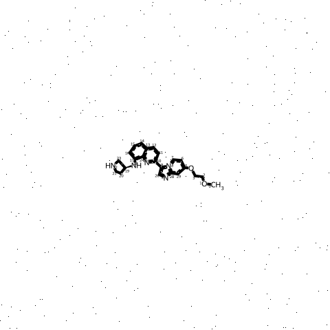 COCCOc1ccn2c(-c3ccc4cccc(N[C@H]5CCNC5)c4n3)cnc2c1